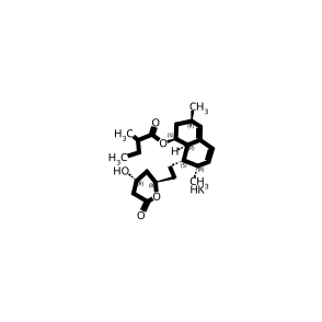 CCC(C)C(=O)O[C@H]1C[C@@H](C)C=C2C=C[C@H](C)[C@H](CC[C@@H]3C[C@@H](O)CC(=O)O3)[C@H]21.[KH]